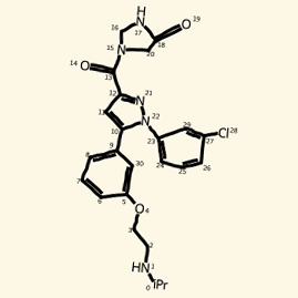 CC(C)NCCOc1cccc(-c2cc(C(=O)N3CNC(=O)C3)nn2-c2cccc(Cl)c2)c1